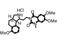 COc1cc2c(=O)n(CCC3NC[C@@H]4CCc5c(OC)cccc5[C@H]34)c(=O)n(C)c2cc1OC.Cl